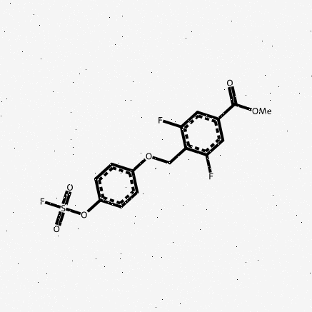 COC(=O)c1cc(F)c(COc2ccc(OS(=O)(=O)F)cc2)c(F)c1